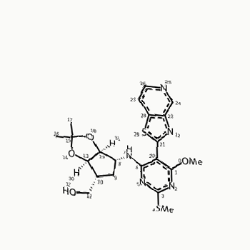 COc1nc(SC)nc(N[C@@H]2C[C@H](CO)[C@H]3OC(C)(C)O[C@H]32)c1-c1nc2cnccc2s1